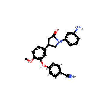 COc1ccc(C2CC(=O)N(c3cccc(N)c3)C2)cc1Oc1ccc(C#N)cc1